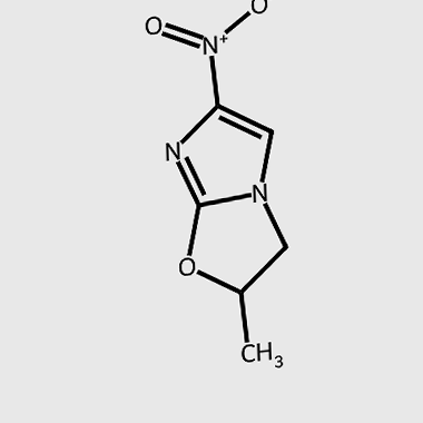 CC1Cn2cc([N+](=O)[O-])nc2O1